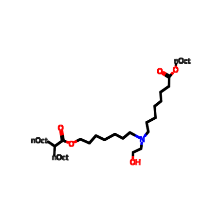 CCCCCCCCOC(=O)CCCCCCCN(CCO)CCCCCCCOC(=O)C(CCCCCCCC)CCCCCCCC